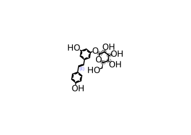 OC[C@H]1O[C@H](Oc2cc(O)cc(/C=C/c3ccc(O)cc3)c2)[C@H](O)[C@@H](O)[C@@H]1O